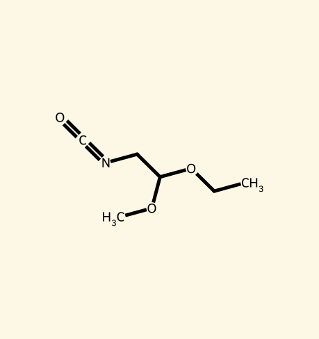 CCOC(CN=C=O)OC